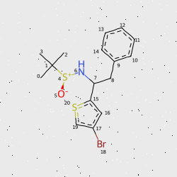 CC(C)(C)[S@+]([O-])NC(Cc1ccccc1)c1cc(Br)cs1